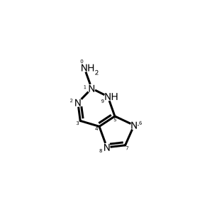 NN1N=CC2=C([N]C=N2)N1